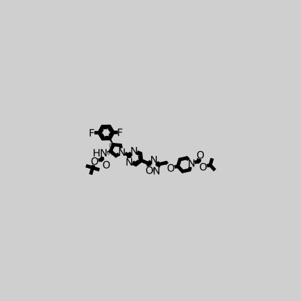 CC(C)OC(=O)N1CCC(OCc2noc(-c3cnc(N4C[C@H](NC(=O)OC(C)(C)C)[C@@H](c5cc(F)ccc5F)C4)nc3)n2)CC1